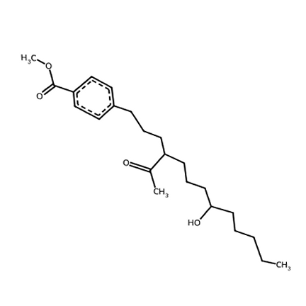 CCCCCC(O)CCCC(CCCc1ccc(C(=O)OC)cc1)C(C)=O